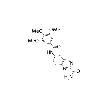 COc1cc(C(=O)NC2CCc3nc(C(N)=O)ncc3C2)cc(OC)c1OC